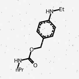 CCCNC(=O)OCc1ccc(NCC)cc1